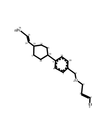 CCC=CCOCc1ccc(C2CCC(C=CCCC)CC2)cc1